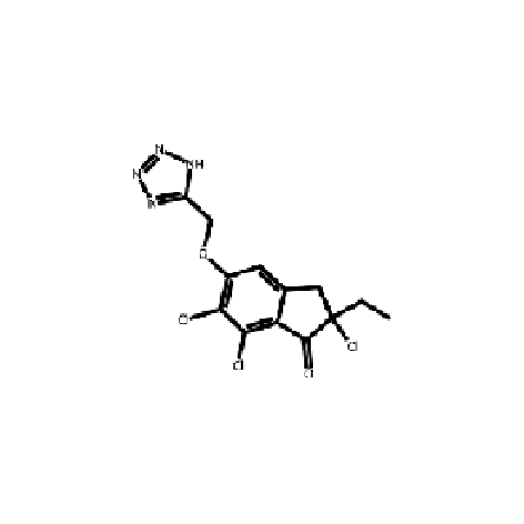 CCC1(Cl)Cc2cc(OCc3nnn[nH]3)c(Cl)c(Cl)c2C1=O